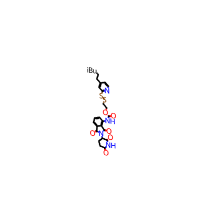 CCC(C)CCc1ccnc(SSCCOC(=O)Nc2cccc3c2C(=O)N(C2CCC(=O)NC2=O)C3=O)c1